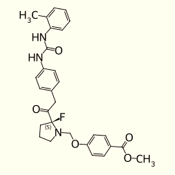 COC(=O)c1ccc(OCN2CCC[C@]2(F)C(=O)Cc2ccc(NC(=O)Nc3ccccc3C)cc2)cc1